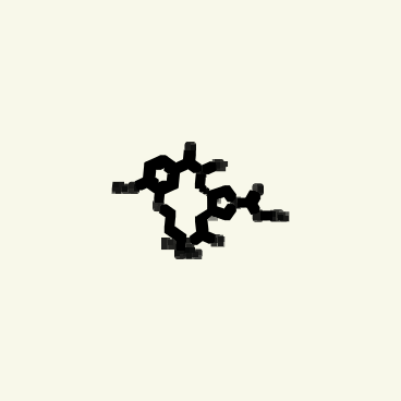 CCOC(=O)C(=C[C@@H]1CN(C(=O)OC(C)(C)C)C[C@H]1CN(C(=O)c1ccc(OC)c(OCCCOC)c1)C(C)C)CC